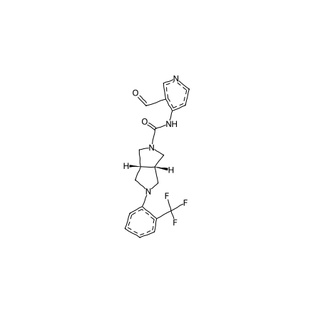 O=Cc1cnccc1NC(=O)N1C[C@@H]2CN(c3ccccc3C(F)(F)F)C[C@@H]2C1